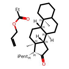 C=CCOC(=O)CC.CCC[C@@H](C)[C@H]1C(=O)C[C@H]2[C@@H]3CCC4CCCC[C@]4(C)[C@H]3CC[C@]12C